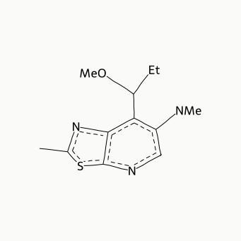 CCC(OC)c1c(NC)cnc2sc(C)nc12